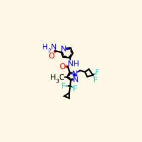 Cc1c(C(F)(F)C2CC2)nn(CC2CC(F)(F)C2)c1C(=O)Nc1ccnc(C(N)=O)c1